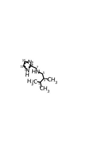 CC(C)[C@H](C)CNCc1ncc[nH]1